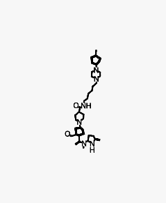 C=C1CCC(N(C)C(=C)c2ccc(N3CCC(C(=O)NCCCCCCN4CCN(c5ccc(C)cc5)CC4)CC3)cc2C=O)N1